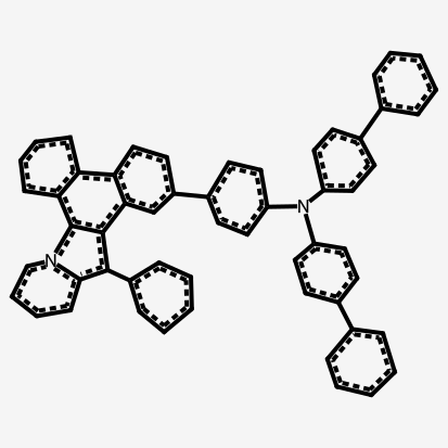 c1ccc(-c2ccc(N(c3ccc(-c4ccccc4)cc3)c3ccc(-c4ccc5c6ccccc6c6c(c(-c7ccccc7)c7ccccn76)c5c4)cc3)cc2)cc1